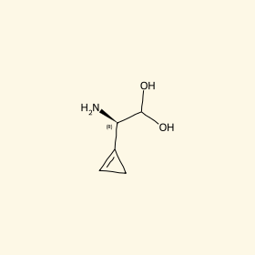 N[C@H](C1=CC1)C(O)O